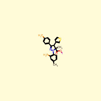 Cc1ccc(N2N=C(c3ccc(P)cc3)C(c3ccsc3)C2(C)C(=O)OI)c(P)c1